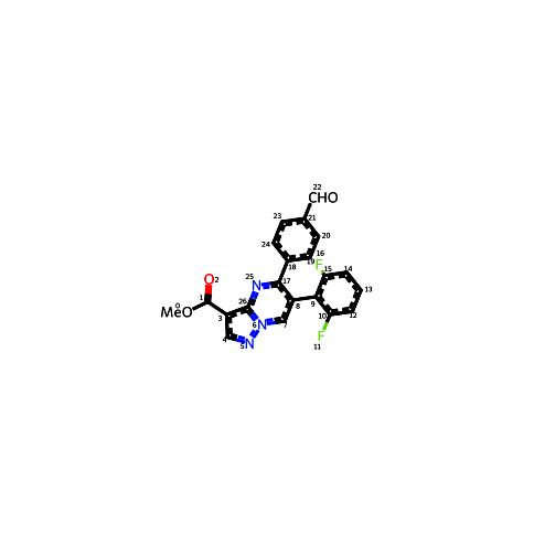 COC(=O)c1cnn2cc(-c3c(F)cccc3F)c(-c3ccc(C=O)cc3)nc12